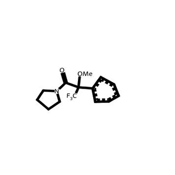 COC(C(=O)N1CCCC1)(c1ccccc1)C(F)(F)F